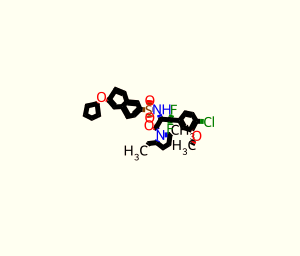 CCC1CCC(C)N1C(=O)C(NS(=O)(=O)c1ccc2cc(OC3CCCC3)ccc2c1)C(F)(F)c1ccc(Cl)c(OC)c1